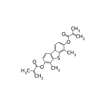 C=C(C)C(=O)Oc1ccc2c(sc3c(C)c(OC(=O)C(=C)C)ccc32)c1C